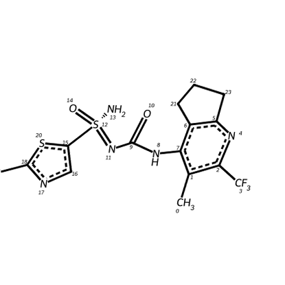 Cc1c(C(F)(F)F)nc2c(c1NC(=O)N=[S@](N)(=O)c1cnc(C(F)(F)F)s1)CCC2